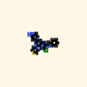 Clc1nc2c(N3CCSCC3)nc(N3CCNCC3)nc2nc1NCc1ccccc1